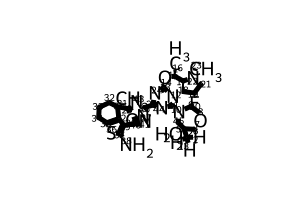 [2H]C([2H])([2H])C1(O)COCCN(c2nc(O[C@@H](C)[C@@H]3C[C@@H](F)CN3C)nc(-c3noc([C@@]4(C)CCCc5sc(N)c(C#N)c54)n3)n2)C1